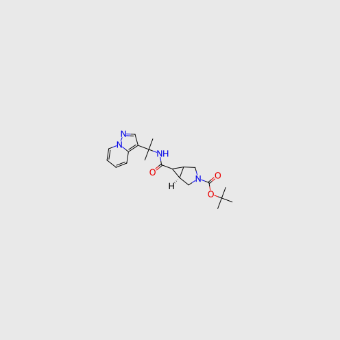 CC(C)(C)OC(=O)N1CC2C(C(=O)NC(C)(C)c3cnn4ccccc34)[C@@H]2C1